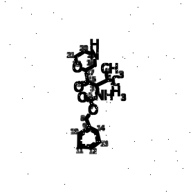 CC(C)C(NC(=O)OCc1ccccc1)C(=O)C1CNCCO1